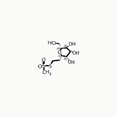 CS(=O)(=O)SCC[C@@H]1O[C@H](CO)[C@@H](O)[C@H](O)[C@@H]1O